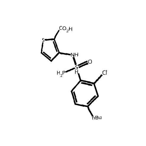 CCCCc1ccc([SH](=O)(P)Nc2ccsc2C(=O)O)c(Cl)c1